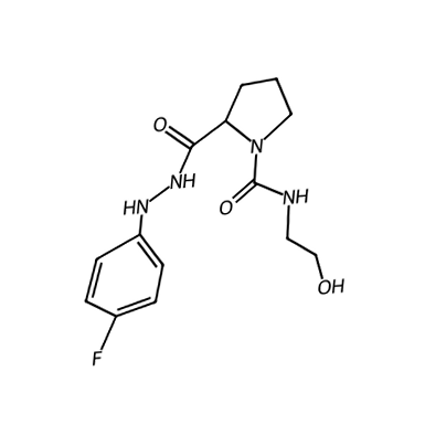 O=C(NNc1ccc(F)cc1)C1CCCN1C(=O)NCCO